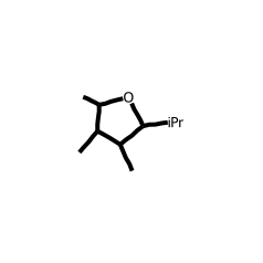 CC(C)C1OC(C)C(C)C1C